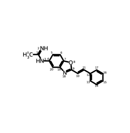 CC(=N)Nc1ccc2oc(/C=C/c3ccccc3)nc2c1